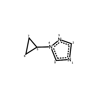 [c]1ncnn1C1CC1